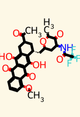 COc1cccc2c1C(=O)c1c(O)c3c(c(O)c1C2=O)CC(C(C)=O)C[C@@H]3CC1CC(NC(=O)C(F)(F)F)C(=O)C(C)O1